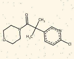 CC(C)(C(=O)N1CCOCC1)c1ccc(Cl)nc1